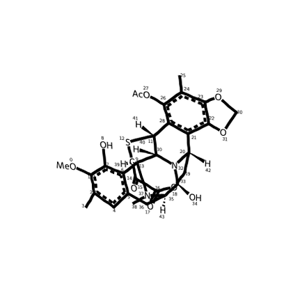 COc1c(C)cc2c(c1O)[C@H]1[C@@H]3[C@@H]4SCC(=O)C(=O)OC[C@@H](c5c6c(c(C)c(OC(C)=O)c54)OCO6)N3[C@@H](O)[C@@H](C2)N1C